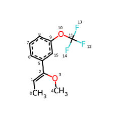 CC=C(OC)c1cccc(OC(F)(F)F)c1